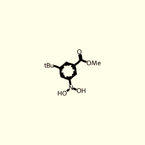 COC(=O)c1cc(N(O)O)cc(C(C)(C)C)c1